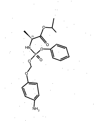 CC(C)OC(=O)[C@H](C)NP(=O)(OCOc1ccc(N)cc1)Oc1ccccc1